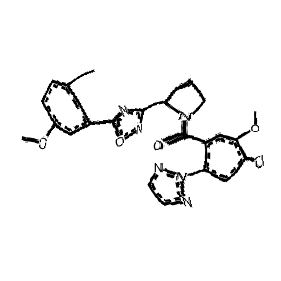 COc1ccc(C)c(-c2nc(C3CCCN3C(=O)c3cc(OC)c(Cl)cc3-n3nccn3)no2)c1